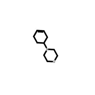 C1=CCC(N2CCOCC2)CC1